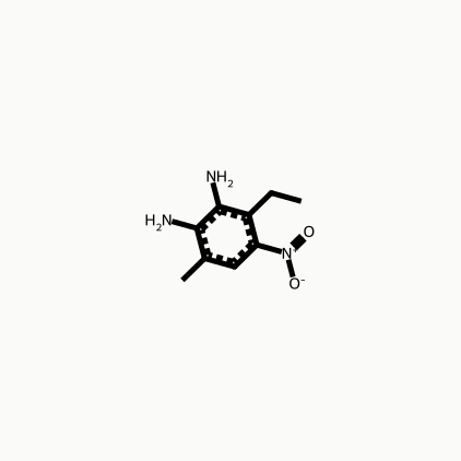 CCc1c([N+](=O)[O-])cc(C)c(N)c1N